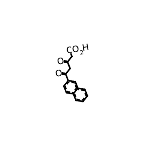 O=C(O)CC(=O)CC(=O)c1ccc2ccccc2c1